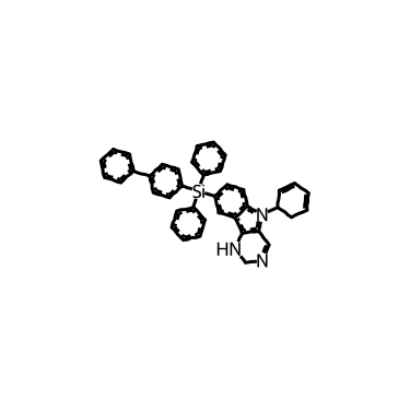 C1=CCC(n2c3c(c4cc([Si](c5ccccc5)(c5ccccc5)c5ccc(-c6ccccc6)cc5)ccc42)NCN=C3)C=C1